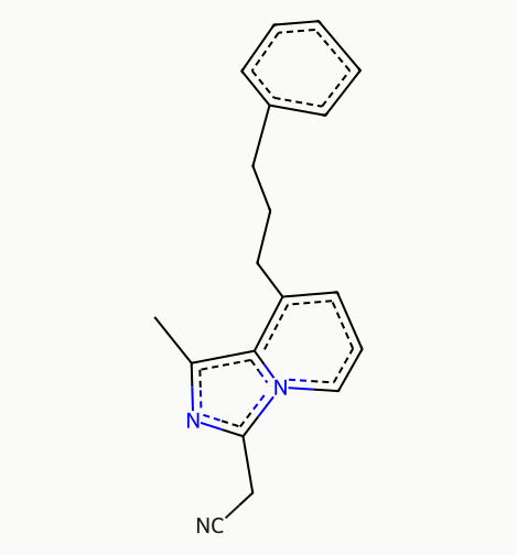 Cc1nc(CC#N)n2cccc(CCCc3ccccc3)c12